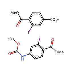 COC(=O)c1ccc(C(=O)O)cc1I.COC(=O)c1ccc(NC(=O)OC(C)(C)C)cc1I